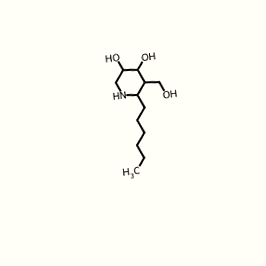 CCCCCCC1NCC(O)C(O)C1CO